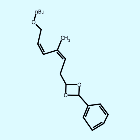 CCCCOC/C=C\C(C)=C/CC1OC(c2ccccc2)O1